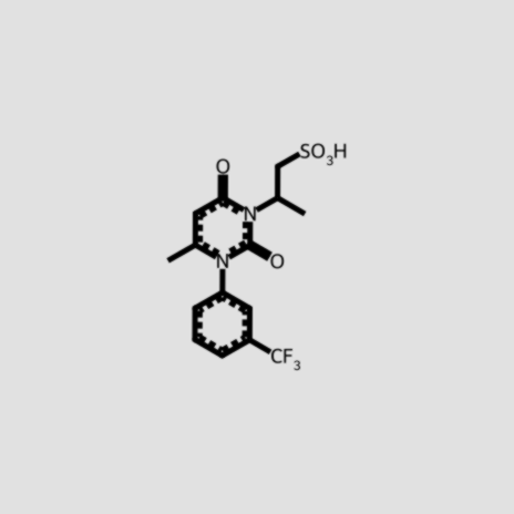 Cc1cc(=O)n(C(C)CS(=O)(=O)O)c(=O)n1-c1cccc(C(F)(F)F)c1